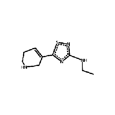 CCNc1nsc(C2=CCCNC2)n1